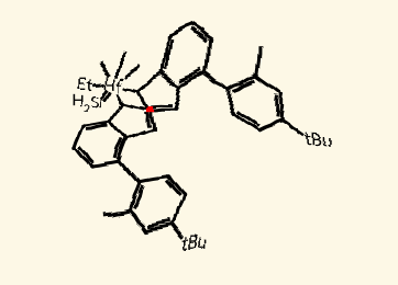 C[CH2][Hf]([CH3])([CH3])([CH3])(=[SiH2])([CH]1C=Cc2c(-c3ccc(C(C)(C)C)cc3C)cccc21)[CH]1C=Cc2c(-c3ccc(C(C)(C)C)cc3C)cccc21